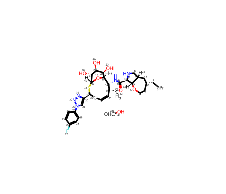 CC(C)C[C@@H]1CCO[C@@H]2[C@H](CN[C@@H]2C(=O)N[C@H]2[C@H]3O[C@H](S[C@H](c4cn(-c5ccc(F)cc5)nn4)CC=C[C@H]2C)[C@H](O)[C@@H](O)[C@H]3O)C1.O=CO